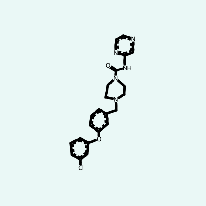 O=C(Nc1cnccn1)N1CCN(Cc2cccc(Oc3cccc(Cl)c3)c2)CC1